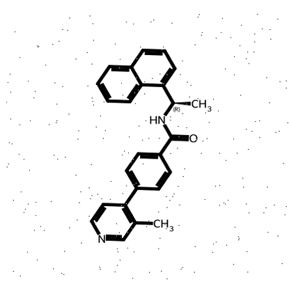 Cc1cnccc1-c1ccc(C(=O)N[C@H](C)c2cccc3ccccc23)cc1